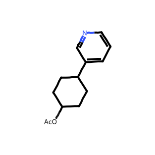 CC(=O)OC1CCC(c2cccnc2)CC1